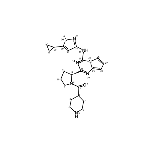 O=C(C1CCNCC1)N1CCC[C@H]1c1nc(Nc2cc(C3CC3)[nH]n2)n2cccc2n1